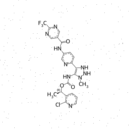 C[C@@H](OC(=O)NC1=C(c2ccc(NC(=O)c3cnc(C(F)(F)F)nc3)cn2)NNN1C)c1cccnc1Cl